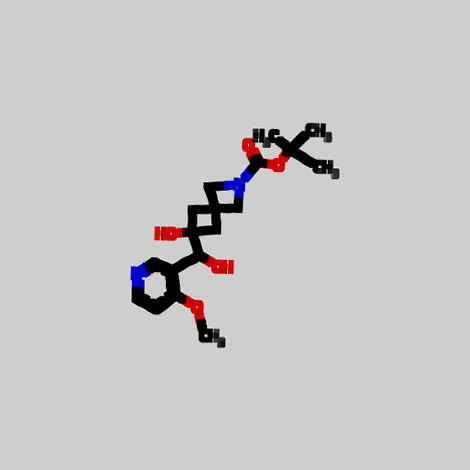 COc1ccncc1C(O)C1(O)CC2(CN(C(=O)OC(C)(C)C)C2)C1